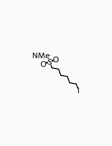 C[N]S(=O)(=O)CCCCCCI